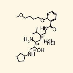 COCCCCOc1ccccc1C(=O)NC[C@@H](C[C@H](N)[C@@H](O)CNC1CCCC1)C(C)C.Cl.Cl